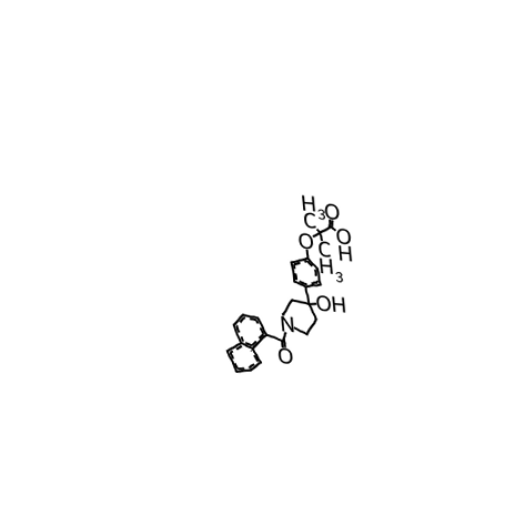 CC(C)(Oc1ccc(C2(O)CCN(C(=O)c3cccc4ccccc34)CC2)cc1)C(=O)O